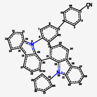 N#Cc1ccc(-c2ccc(-n3c4ccccc4c4cccc(-c5cccc6c7ccccc7n(-c7ccccc7)c56)c43)cc2)cc1